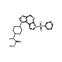 COC(=O)N(C)C1CCC(n2cnc3cnc4c(ccn4S(=O)(=O)c4ccccc4)c32)CC1